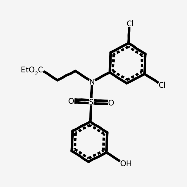 CCOC(=O)CCN(c1cc(Cl)cc(Cl)c1)S(=O)(=O)c1cccc(O)c1